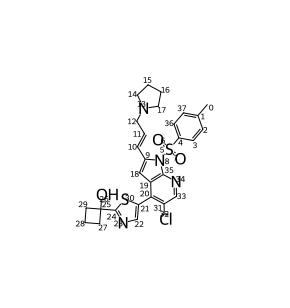 Cc1ccc(S(=O)(=O)n2c(/C=C/CN3CCCC3)cc3c(-c4cnc(C5(O)CCC5)s4)c(Cl)cnc32)cc1